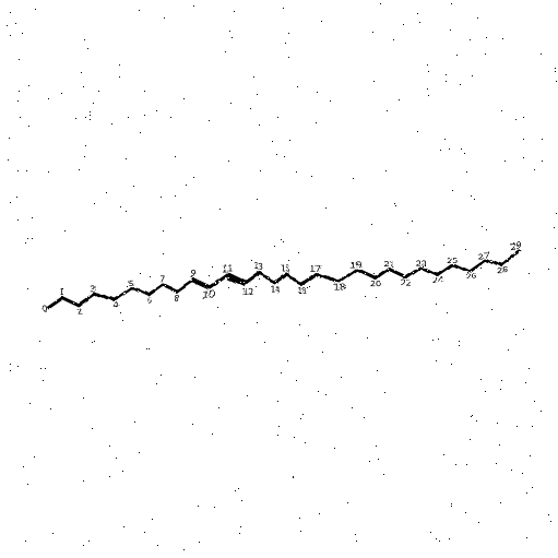 CCCCCCCCCCC/C=C/CCCCCCCCCCCCCCCCC